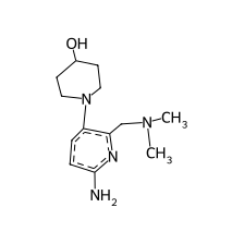 CN(C)Cc1nc(N)ccc1N1CCC(O)CC1